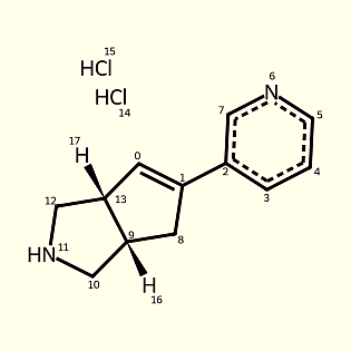 C1=C(c2cccnc2)C[C@@H]2CNC[C@H]12.Cl.Cl